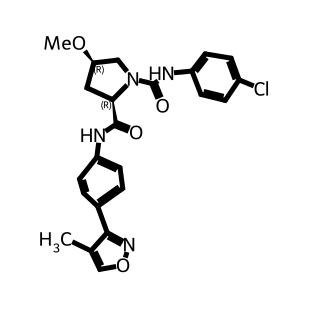 CO[C@@H]1C[C@H](C(=O)Nc2ccc(-c3nocc3C)cc2)N(C(=O)Nc2ccc(Cl)cc2)C1